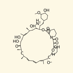 CO[C@H]1C[C@@H]2CC[C@@H](C)[C@@](O)(O2)C(=O)C(=O)N2CCCC[C@H]2C(=O)O[C@H]([C@H](N)C[C@@H]2CC[C@@H](O)[C@H](OC)C2)C[C@@H](O)[C@H](C)/C=C(\C)[C@@H](O)[C@@H](O)C(=O)[C@H](C)C[C@H](C)/C=C/C=C/C=C/1C